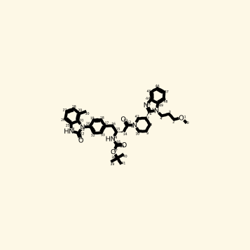 COCCCn1c([C@@H]2CCCN(C(=O)C[C@@H](Cc3ccc(-n4c(=O)[nH]c5cccc(C)c54)cc3)NC(=O)OC(C)(C)C)C2)nc2ccccc21